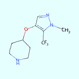 Cn1ncc(OC2CCNCC2)c1C(F)(F)F